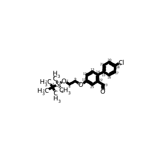 CC(C)(C)[Si](C)(C)OCCOc1ccc(-c2ccc(Cl)cc2)c(C=O)c1